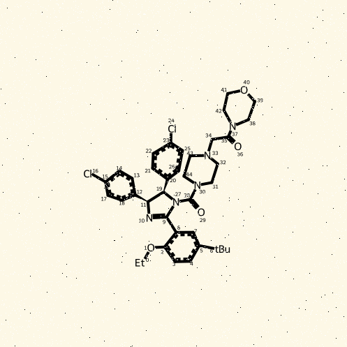 CCOc1ccc(C(C)(C)C)cc1C1=N[C@@H](c2ccc(Cl)cc2)[C@@H](c2ccc(Cl)cc2)N1C(=O)N1CCN(CC(=O)N2CCOCC2)CC1